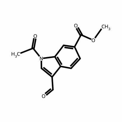 COC(=O)c1ccc2c(C=O)cn(C(C)=O)c2c1